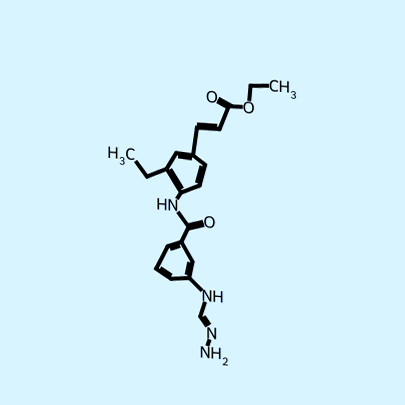 CCOC(=O)C=Cc1ccc(NC(=O)c2cccc(NC=NN)c2)c(CC)c1